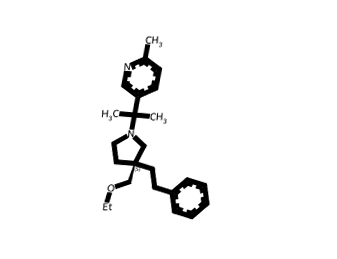 CCOC[C@@]1(CCc2ccccc2)CCN(C(C)(C)c2ccc(C)nc2)C1